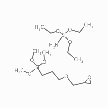 CCO[Si](N)(OCC)OCC.CO[Si](CCCOCC1CO1)(OC)OC